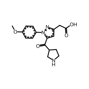 COc1ccc(-n2nc(CC(=O)O)cc2C(=O)C2CCNC2)cc1